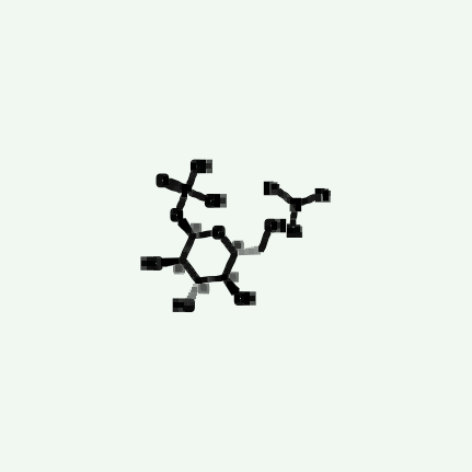 CCN(CC)CC.O=P(O)(O)O[C@H]1O[C@H](CO)[C@@H](O)[C@H](O)[C@H]1O